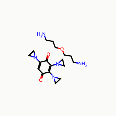 NCCCOCCCN.O=C1C=C(N2CC2)C(=O)C(N2CC2)=C1N1CC1